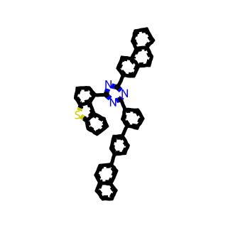 c1cc(-c2ccc(-c3ccc4ccccc4c3)cc2)cc(-c2nc(-c3ccc4c(ccc5ccccc54)c3)nc(-c3cccc4sc5ccccc5c34)n2)c1